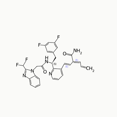 C=C/C=C(\C=C\c1cccnc1[C@H](Cc1cc(F)cc(F)c1)NC(=O)Cn1c(C(F)F)nc2ccccc21)C(N)=O